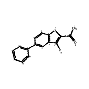 O=C(O)c1sc2ccc(-c3ccccc3)cc2c1F